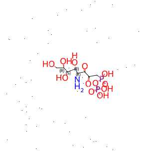 N[C@@H](C(=O)C(=O)CP(=O)(O)OP(=O)(O)O)[C@@H](O)[C@H](O)[C@H](O)CO